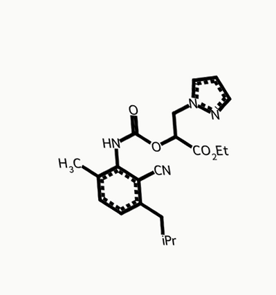 CCOC(=O)C(Cn1cccn1)OC(=O)Nc1c(C)ccc(CC(C)C)c1C#N